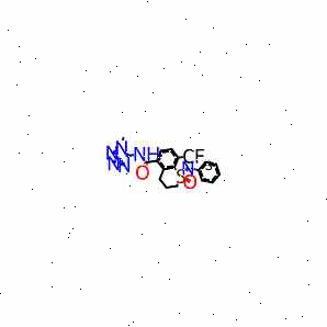 Cn1nnnc1NC(=O)c1ccc(C(F)(F)F)c2c1CCCS2(=O)=Nc1ccccc1